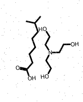 CC(C)CCCCCC(=O)O.OCCN(CCO)CCO